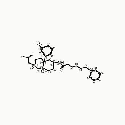 CC(C)C[N@+]1(C)CC[C@]2(c3cccc(O)c3)C[C@@H](NC(=O)CCCCCc3ccccc3)CCC2(O)C1